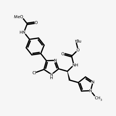 COC(=O)Nc1ccc(-c2nc([C@H](Cc3cnn(C)c3)NC(=O)OC(C)(C)C)[nH]c2Cl)cc1